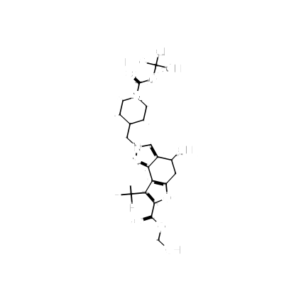 CCOC(=O)c1oc2c(c1C(F)(F)F)-c1nn(CC3CCN(C(=O)OC(C)(C)C)CC3)cc1C(C)C2